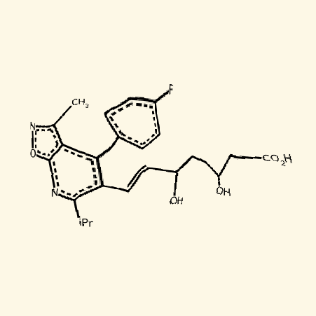 Cc1noc2nc(C(C)C)c(/C=C/C(O)CC(O)CC(=O)O)c(-c3ccc(F)cc3)c12